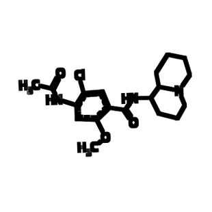 COc1cc(NC(C)=O)c(Cl)cc1C(=O)NC1CCCN2CCCCC12